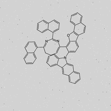 C1=C(c2c(-n3c4ccccc4c4cc5ccccc5cc43)ccc3c2oc2c4ccccc4ccc32)/N=C(c2cccc3ccccc23)\N=C(\c2cccc3ccccc23)CC\1